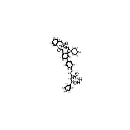 O=C(NS(=O)(=O)Cc1ccccc1)c1ccc(-c2ccc(CCN(C[C@@H](O)c3ccccc3)C(=O)O)cc2)cc1OC1CCCCC1